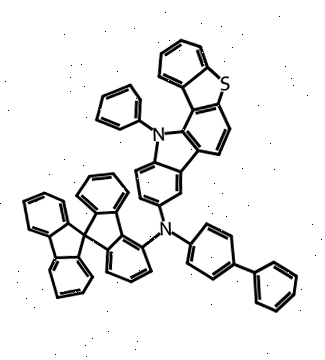 c1ccc(-c2ccc(N(c3ccc4c(c3)c3ccc5sc6ccccc6c5c3n4-c3ccccc3)c3cccc4c3-c3ccccc3C43c4ccccc4-c4ccccc43)cc2)cc1